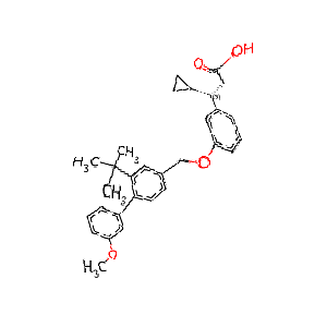 COc1cccc(-c2ccc(COc3cccc([C@@H](CC(=O)O)C4CC4)c3)cc2C(C)(C)C)c1